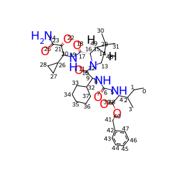 CCC(C)C(NC(=O)N[C@H](C(=O)N1C[C@H]2[C@@H]([C@H]1C(=O)NC(C(=O)C(N)=O)C1CC1)C2(C)C)C1CCCCC1)C(=O)OCc1ccccc1